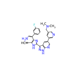 C#Cc1[nH]c(-c2n[nH]c3ncc(-c4cncc(CN(C)C)c4)cc23)nc1/C(=C\N)c1cccc(F)c1